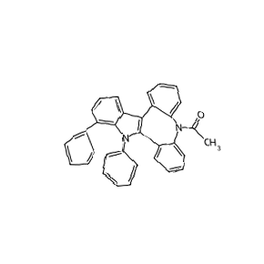 CC(=O)N1c2ccccc2-c2c(n(-c3ccccc3)c3c(-c4ccccc4)cccc23)-c2ccccc21